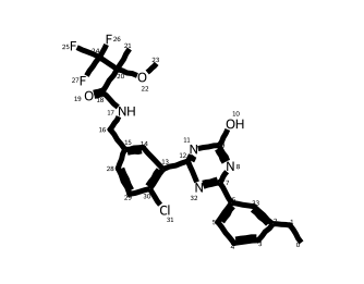 CCc1cccc(-c2nc(O)nc(-c3cc(CNC(=O)C(C)(OC)C(F)(F)F)ccc3Cl)n2)c1